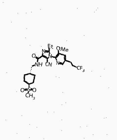 CCc1nc(C(=O)NC[C@H]2CC[C@H](S(C)(=O)=O)CC2)c(C#N)n1-c1ncc(CCC(F)(F)F)cc1OC